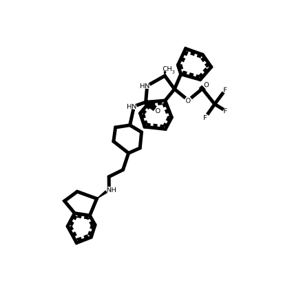 C[C@@H](NC(=O)NC1CCC(CCN[C@@H]2CCc3ccccc32)CC1)C(OC(=O)C(F)(F)F)(c1ccccc1)c1ccccc1